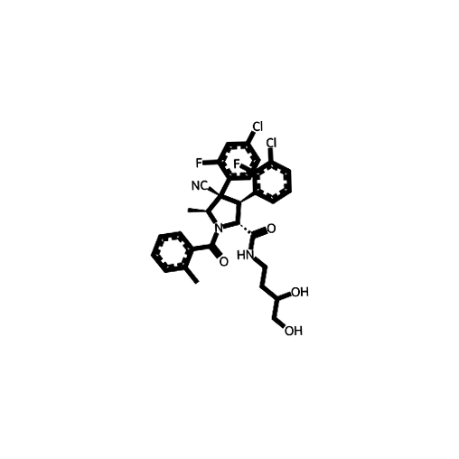 Cc1ccccc1C(=O)N1[C@@H](C)[C@](C#N)(c2ccc(Cl)cc2F)[C@@H](c2cccc(Cl)c2F)[C@@H]1C(=O)NCCC(O)CO